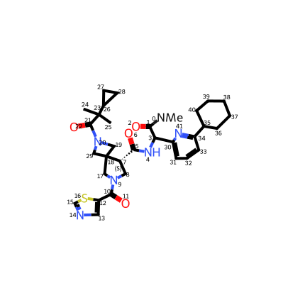 CNC(=O)C(NC(=O)[C@@H]1CN(C(=O)c2cncs2)CC12CN(C(=O)C(C)(C)C1CC1)C2)c1cccc(C2CCCCC2)n1